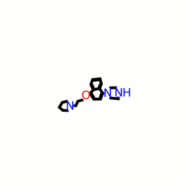 c1ccc2c(N3CCNCC3)ccc(OCCCN3CCCCC3)c2c1